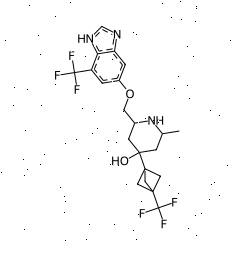 CC1CC(O)(C23CC(C(F)(F)F)(C2)C3)CC(COc2cc(C(F)(F)F)c3[nH]cnc3c2)N1